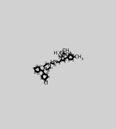 Cc1ccc(-c2cc(CNCCN3CCN(C(c4ccccc4)c4ccc(Cl)cc4)CC3)nn2C(C)(C)C)cc1